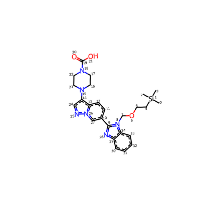 C[Si](C)(C)CCOCn1c(-c2ccc3c(N4CCN(C(=O)O)CC4)cnn3c2)nc2ccccc21